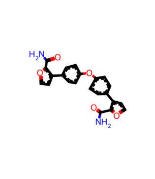 NC(=O)c1occc1-c1ccc(Oc2ccc(-c3ccoc3C(N)=O)cc2)cc1